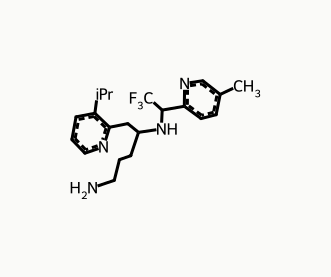 Cc1ccc(C(NC(CCCN)Cc2ncccc2C(C)C)C(F)(F)F)nc1